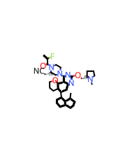 C=C(F)C(=O)N1CCN(c2nc(OC[C@@H]3CCCN3C)nc3cc(-c4cccc5cccc(C)c45)c4c(c23)OCCC4)C[C@@H]1CC#N